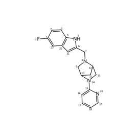 Fc1ccc2[nH]c(CN3CC4CC3CN4c3ccccn3)cc2c1